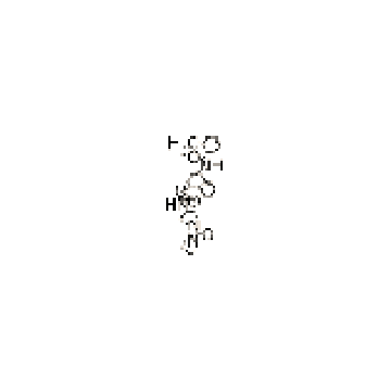 Cc1ccccc1C(=O)Nc1ccc(S(=O)(=O)NC2CCN(C(=O)N3CCCC3)CC2)c2ccccc12